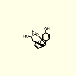 COC1=CC23C=CC(O)C=C2OC2=CC=CC(=CN1CCO)C23